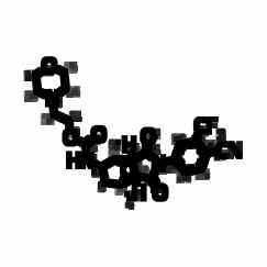 C[C@]12O[C@](C)(C[C@H]1NC(=O)OCCN1CCOCC1)[C@H]1C(=O)N(c3ccc(C#N)c(C(F)(F)F)c3)C(=O)[C@H]12